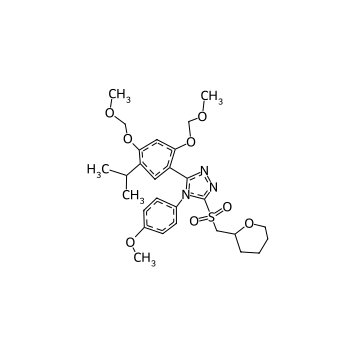 COCOc1cc(OCOC)c(C(C)C)cc1-c1nnc(S(=O)(=O)CC2CCCCO2)n1-c1ccc(OC)cc1